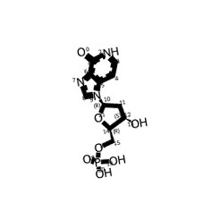 O=c1[nH]ccc2c1ncn2[C@H]1C[C@H](O)[C@@H](COP(=O)(O)O)O1